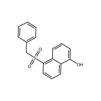 O=S(=O)(Cc1ccccc1)c1cccc2c(O)cccc12